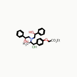 CCOC(=O)COc1ccc(C[C@@H](C)N(C[C@@H](O)c2ccccc2)C[C@@H](O)c2ccccc2)cc1.Cl